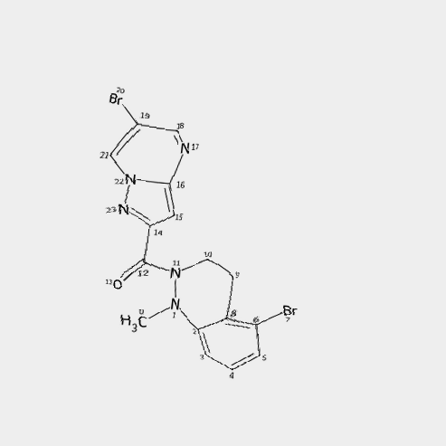 CN1c2cccc(Br)c2CCN1C(=O)c1cc2ncc(Br)cn2n1